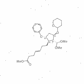 COC(=O)CCC=CCC[C@@H]1[C@@H](C(OC)OC)[C@H](OC2CCCCO2)C[C@H]1Oc1ccccc1